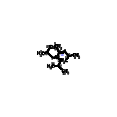 C/[C](=C/C(C)C)[Al]([CH2]C(C)C)[CH2]C(C)C